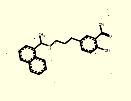 CC(NCCCc1ccc(O)c(C(=O)O)c1)c1cccc2ccccc12